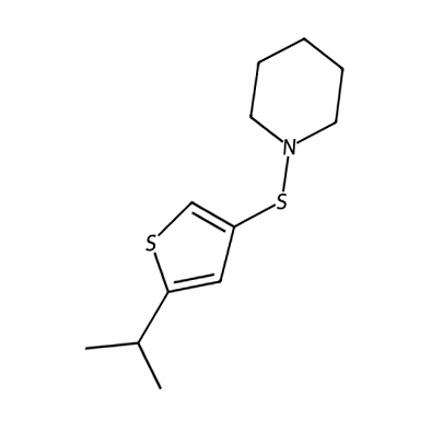 CC(C)c1cc(SN2CCCCC2)cs1